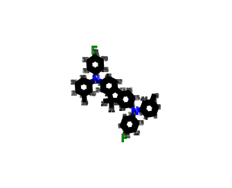 Cc1cccc(N(c2ccc(F)cc2)c2ccc3c(c2)C(C)(C)c2cc(N(c4ccc(F)cc4)c4cccc(C)c4)ccc2-3)c1